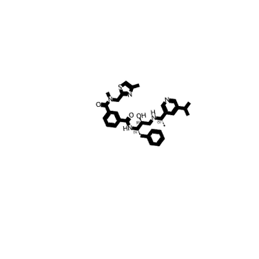 Cc1csc(CN(C)C(=O)c2cccc(C(=O)N[C@@H](Cc3ccccc3)[C@H](O)CN[C@@H](C)c3cncc(C(C)C)c3)c2)n1